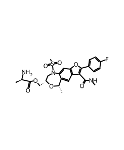 CNC(=O)c1c(-c2ccc(F)cc2)oc2cc3c(cc12)[C@H](C)O[C@H](COC(=O)[C@@H](C)N)CN3S(C)(=O)=O